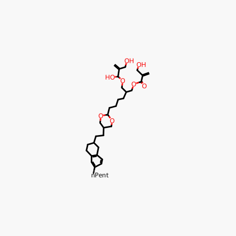 C=C(CO)C(=O)OCC(CCCCC1OCC(CCC2CCc3cc(CCCCC)ccc3C2)CO1)COC(O)C(=C)CO